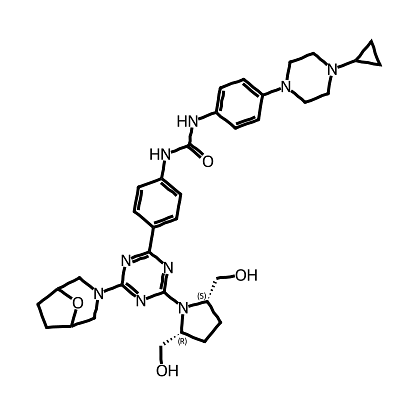 O=C(Nc1ccc(-c2nc(N3CC4CCC(C3)O4)nc(N3[C@H](CO)CC[C@@H]3CO)n2)cc1)Nc1ccc(N2CCN(C3CC3)CC2)cc1